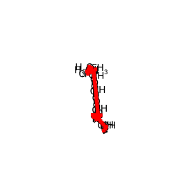 Cc1sc2c(c1C)C(c1ccc(Cl)cc1)=N[C@@H](CC(=O)NCCOCCOCCOCCNC(=O)CCOCCOCCOCCOCCNC(=O)CCC(=O)N1Cc3ccccc3-c3nnn(CCCCCC(=O)NOP(O)(=S)OCC4CCC4)c3-c3ccccc31)c1nnc(C)n1-2